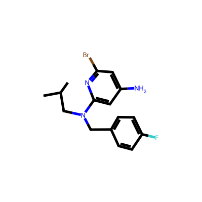 CC(C)CN(Cc1ccc(F)cc1)c1cc(N)cc(Br)n1